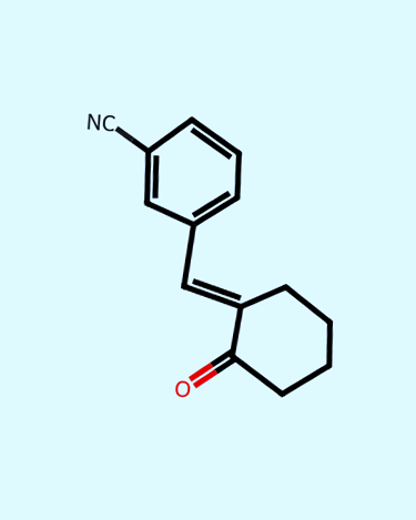 N#Cc1cccc(/C=C2\CCCCC2=O)c1